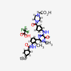 Cc1c(NC(=O)c2ccc(C(C)(C)C)cc2)cccc1-c1cn(C)c(=O)c(Nc2ccc(C(=O)N3CCN(CC(=O)O)CC3)cc2)n1.O=C(O)C(F)(F)F